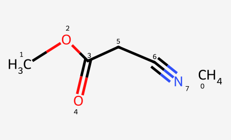 C.COC(=O)CC#N